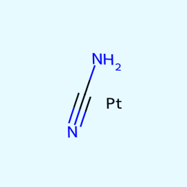 N#CN.[Pt]